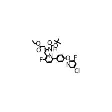 CCOC(=O)C[C@H](Cc1nc(-c2ccc(Oc3ncc(Cl)cc3F)cc2)ccc1F)NC(=O)OC(C)(C)C